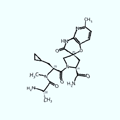 Cc1ccc2c(n1)NC(=O)[C@]1(C[C@@H](C(N)=O)N(C(=O)[C@H](CC3CC3)N(C)C(=O)[C@H](C)N)C1)O2